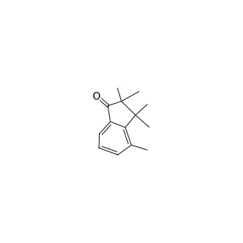 Cc1cccc2c1C(C)(C)C(C)(C)C2=O